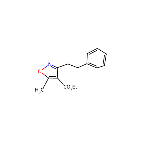 CCOC(=O)c1c(CCc2ccccc2)noc1C